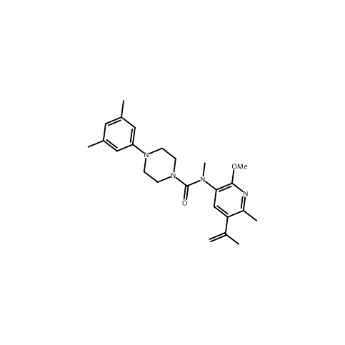 C=C(C)c1cc(N(C)C(=O)N2CCN(c3cc(C)cc(C)c3)CC2)c(OC)nc1C